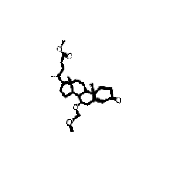 COCO[C@@H]1CC2=CC(=O)CCC2(C)C2CCC3(C)C(CCC3[C@H](C)CCC(=O)OC)C21